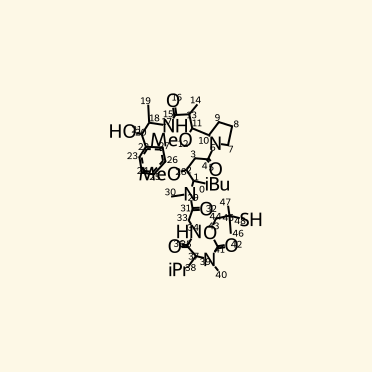 CCC(C)C(C(CC(=O)N1CCCC1C(OC)C(C)C(=O)NC(C)C(O)c1ccccc1)OC)N(C)C(=O)CNC(=O)C(C(C)C)N(C)C(=O)OCC(C)(C)S